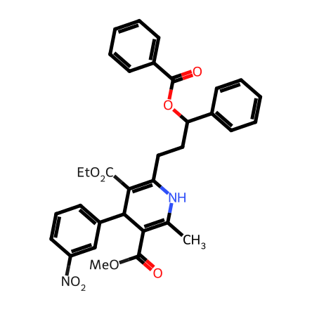 CCOC(=O)C1=C(CCC(OC(=O)c2ccccc2)c2ccccc2)NC(C)=C(C(=O)OC)C1c1cccc([N+](=O)[O-])c1